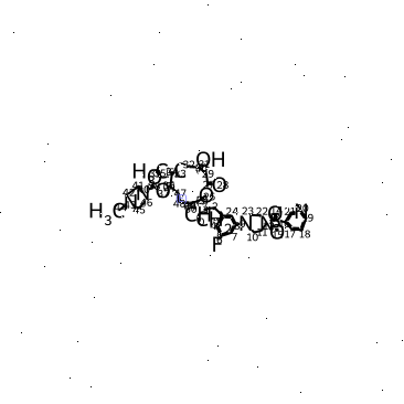 C=C(Cc1cc(F)cc(N2CCN(S(=O)(=O)c3cccnc3)CC2)c1)[C@H]1OC(=O)C[C@H](O)CC[C@H](C)[C@@H](OC(=O)N2CCN(C)CC2)/C=C/[C@@H]1C